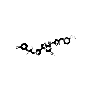 Cc1cn2c(-c3cnn(CC(=O)Nc4cccc(Cl)c4)c3)cnc2c(Nc2cc(CN3CCCC(C)C3)ns2)n1